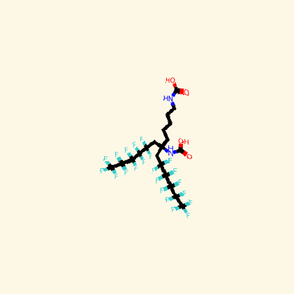 O=C(O)NCCCCCC(CC(F)(F)C(F)(F)C(F)(F)C(F)(F)C(F)(F)F)(CC(F)(F)C(F)(F)C(F)(F)C(F)(F)C(F)(F)F)NC(=O)O